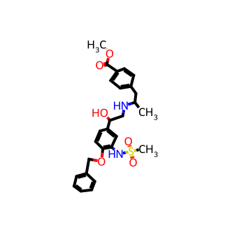 COC(=O)c1ccc(CC(C)NCC(O)c2ccc(OCc3ccccc3)c(NS(C)(=O)=O)c2)cc1